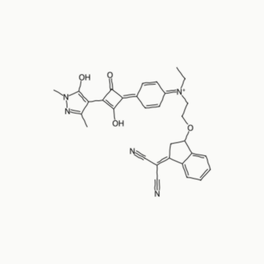 CC[N+](CCOC1CC(=C(C#N)C#N)c2ccccc21)=C1C=CC(=C2C(=O)C(c3c(C)nn(C)c3O)=C2O)C=C1